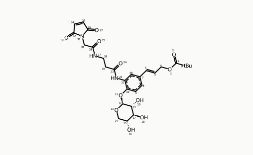 CC(C)(C)C(=O)OC/C=C/c1ccc(O[C@@H]2OC[C@@H](O)[C@H](O)[C@H]2O)c(NC(=O)CCNC(=O)CN2C(=O)C=CC2=O)c1